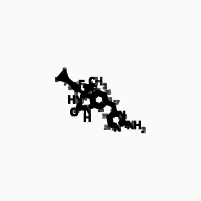 CC(F)(F)[C@@]1(C#CC2CC2)NC(=O)Nc2cc(Cc3ccnc(N)n3)ccc21